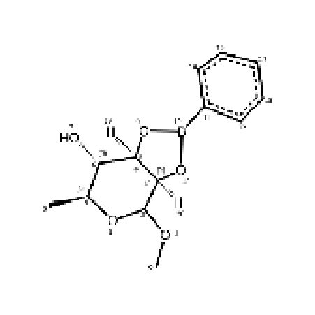 COC1O[C@@H](C)[C@H](O)[C@H]2OB(c3ccccc3)O[C@@H]12